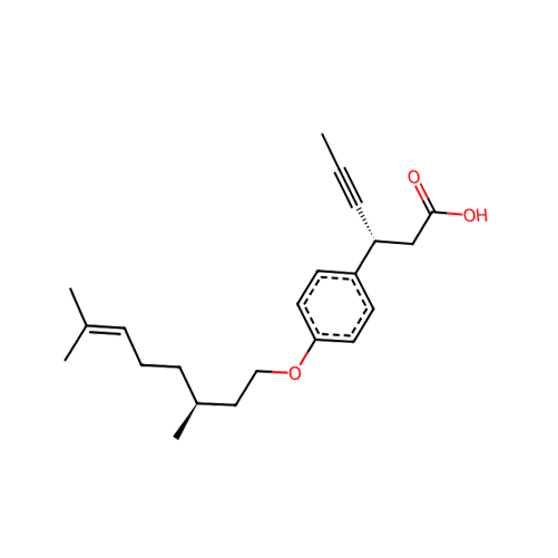 CC#C[C@H](CC(=O)O)c1ccc(OCC[C@@H](C)CCC=C(C)C)cc1